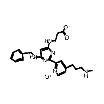 CNCCCc1ccnc(-c2nc(NCCC(=O)[O-])cc(NCc3ccccc3)n2)c1.[Li+]